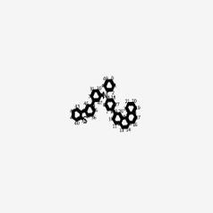 c1ccc(N(c2ccc(-c3ccc4ccc5ccc6ccccc6c5c4c3)cc2)c2cccc(-c3ccc4sc5ccccc5c4c3)c2)cc1